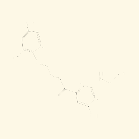 Cc1cc(C(=O)NCCOc2ncc(C(F)(F)F)cc2Cl)nc(NCC(C)C)n1